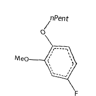 CCCCCOc1ccc(F)cc1OC